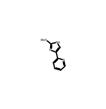 CSc1nc(-c2ccccn2)c[nH]1